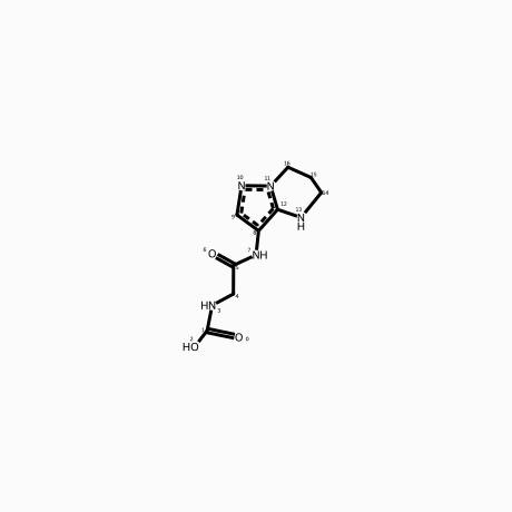 O=C(O)NCC(=O)Nc1cnn2c1NCCC2